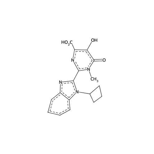 Cn1c(-c2nc3ccccc3n2C2CCC2)nc(C(=O)O)c(O)c1=O